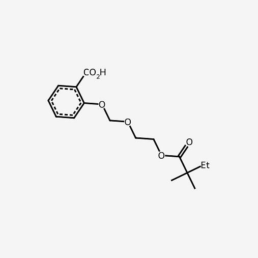 CCC(C)(C)C(=O)OCCOCOc1ccccc1C(=O)O